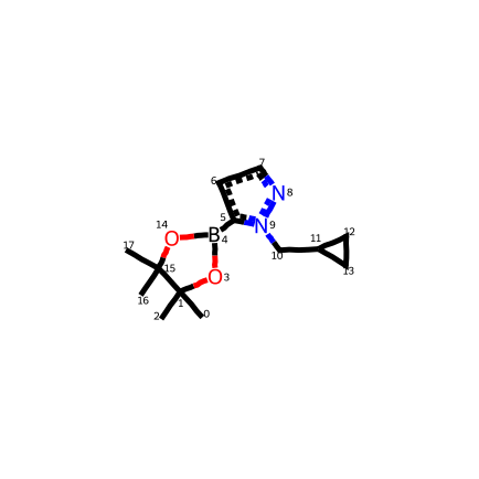 CC1(C)OB(c2ccnn2CC2CC2)OC1(C)C